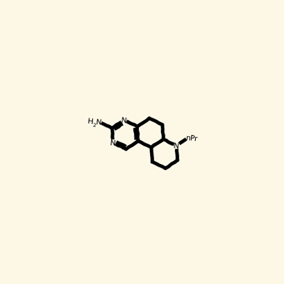 CCCN1CCCC2c3cnc(N)nc3CCC21